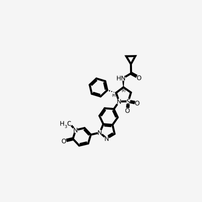 Cn1cc(-n2ncc3cc(N4[C@H](c5ccccc5)[C@@H](NC(=O)C5CC5)CS4(=O)=O)ccc32)ccc1=O